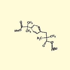 CCCCOC(=O)C(C)(C)Cc1ccc(C(C)(C)C(=O)OC)cc1